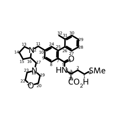 CSCC[C@H](NC(=O)c1ccc(CN2CCCC2CN2CCOCC2)cc1-c1ccccc1C)C(=O)O